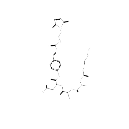 COCCOCC(=O)NC(C)C(=O)NC(C)C(=O)NC(CC(N)=O)C(=O)Nc1ccc(/C=N/C(=O)NCCN2C(=O)C=CC2=O)cc1